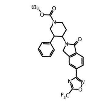 CC(C)(C)OC(=O)N1CCC(N2Cc3cc(-c4noc(C(F)(F)F)n4)ccc3C2=O)C(c2ccccc2)C1